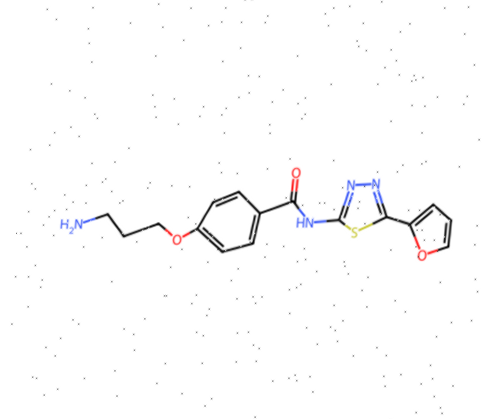 NCCCOc1ccc(C(=O)Nc2nnc(-c3ccco3)s2)cc1